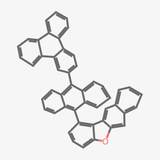 c1ccc2cc3c(cc2c1)oc1cccc(-c2c4ccccc4c(-c4ccc5c6ccccc6c6ccccc6c5c4)c4ccccc24)c13